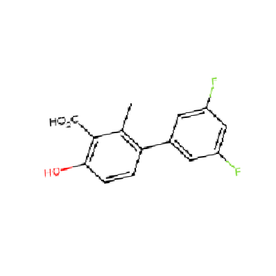 Cc1c(-c2cc(F)cc(F)c2)ccc(O)c1C(=O)O